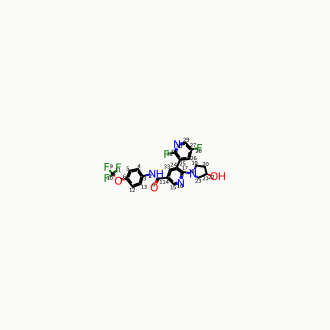 O=C(Nc1ccc(OC(F)(F)F)cc1)c1cnc(N2CC[C@@H](O)C2)c(-c2cc(F)cnc2F)c1